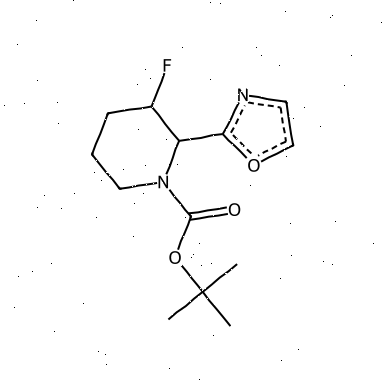 CC(C)(C)OC(=O)N1CCCC(F)C1c1ncco1